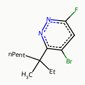 CCCCCC(C)(CC)c1nnc(F)cc1Br